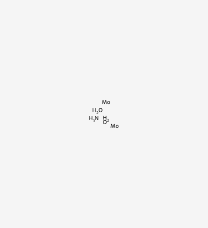 N.O.O.[Mo].[Mo]